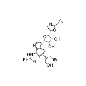 CCC(CC)Nc1nc(N(CO)CC(C)C)nc2c1ncn2[C@@H]1O[C@H](c2nnc(C3CC3)o2)[C@@H](O)[C@H]1O